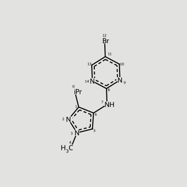 CC(C)c1nn(C)cc1Nc1ncc(Br)cn1